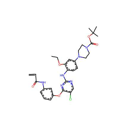 C=CC(=O)Nc1cccc(Oc2nc(Nc3ccc(N4CCN(C(=O)OC(C)(C)C)CC4)cc3OCC)ncc2Cl)c1